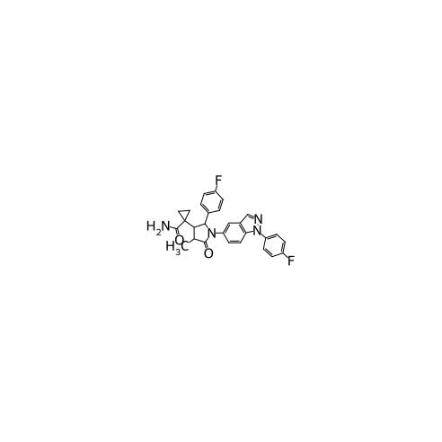 CC1C(=O)N(c2ccc3c(cnn3-c3ccc(F)cc3)c2)C(c2ccc(F)cc2)C1C1(C(N)=O)CC1